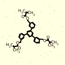 C=C(C)C(=O)OCc1cccc(-c2cc(-c3cccc(COC(=O)C(=C)C)c3)cc(-c3cccc(COC(=O)C(=C)C)c3)c2)c1